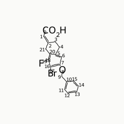 O=C(O)C=C1CCc2cc(OCc3ccccc3)c(Br)c(F)c2C1